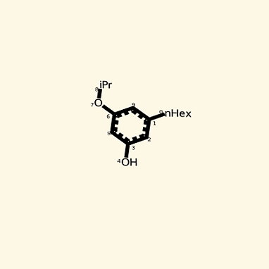 CCCCCCc1cc(O)cc(OC(C)C)c1